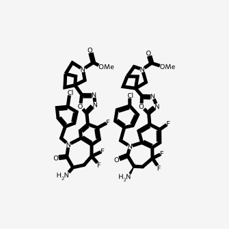 COC(=O)N1CC2CC(c3nnc(-c4cc5c(cc4F)C(F)(F)CC(N)C(=O)N5Cc4ccc(Cl)cc4)o3)(C2)C1.COC(=O)N1CC2CC(c3nnc(-c4cc5c(cc4F)C(F)(F)C[C@@H](N)C(=O)N5Cc4ccc(Cl)cc4)o3)(C2)C1